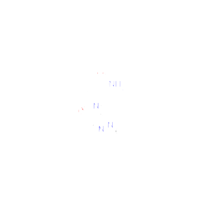 Cn1cc(-n2cc(C(N)=O)ccc2=O)cn1